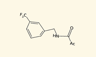 CC(=O)C(=O)NCc1cccc(C(F)(F)F)c1